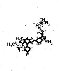 CCOC(=O)[C@@H](OC1CC1)c1c(C)cc2nc(-c3ccc4c(c3)c(C3CN(C(=O)OC(C)(C)C)C3)nn4C)sc2c1-c1ccc(Cl)cc1